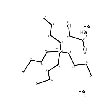 Br.Br.Br.CCCC[N+](CCCC)(CCCC)CCCC.ClCCCl